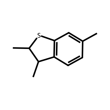 Cc1ccc2c(c1)SC(C)C2C